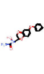 NC(=O)N(O)CC1COc2cc(Oc3ccccc3)ccc2O1